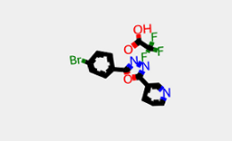 Brc1ccc(-c2nnc(-c3cccnc3)o2)cc1.O=C(O)C(F)(F)F